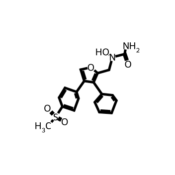 CS(=O)(=O)c1ccc(-c2coc(CN(O)C(N)=O)c2-c2ccccc2)cc1